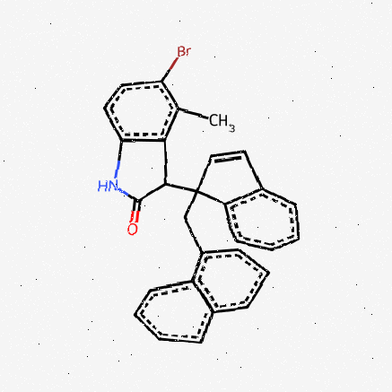 Cc1c(Br)ccc2c1C(C1(Cc3cccc4ccccc34)C=Cc3ccccc31)C(=O)N2